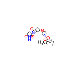 CC(C)(C)OC(=O)N1CCC(Oc2ccc3c(c2)CN(C2CCC(=O)NC2=O)C3=O)CC1